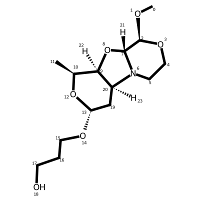 CO[C@H]1OCCN2[C@@H]1O[C@@H]1[C@H](C)O[C@@H](OCCCO)C[C@@H]12